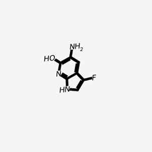 Nc1cc2c(F)c[nH]c2nc1O